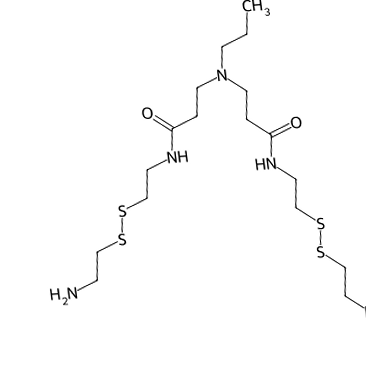 CCCN(CCC(=O)NCCSSCCN)CCC(=O)NCCSSCCN